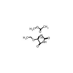 CCOc1c[nH]c(=O)[nH]c1=O.COC(C)=O